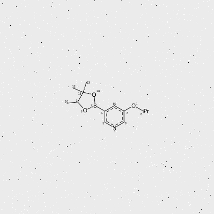 CC(C)Oc1cncc(B2OC(C)C(C)(C)O2)c1